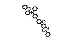 c1ccc(-c2nc3cc4oc5cc(-c6ccc(N(c7ccccc7)c7cccc8c7oc7ccccc78)cc6)ccc5c4cc3o2)cc1